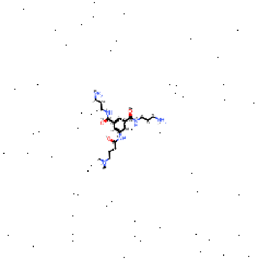 CN(C)CCCC(=O)Nc1cc(C(=O)NCCCN)cc(C(=O)NCCCN)c1